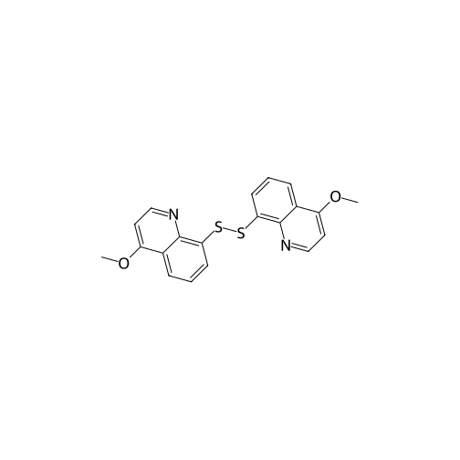 COc1ccnc2c(SSc3cccc4c(OC)ccnc34)cccc12